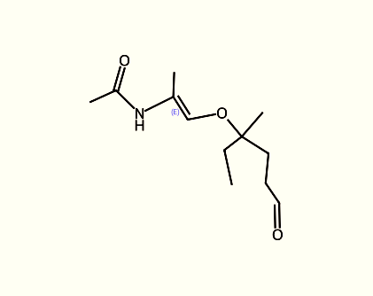 CCC(C)(CCC=O)O/C=C(\C)NC(C)=O